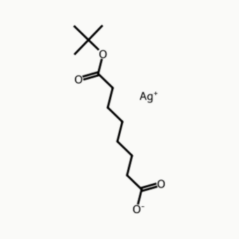 CC(C)(C)OC(=O)CCCCCCC(=O)[O-].[Ag+]